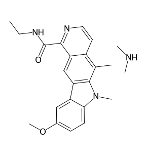 CCNC(=O)c1nccc2c(C)c3c(cc12)c1cc(OC)ccc1n3C.CNC